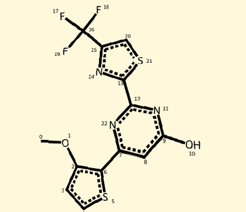 COc1ccsc1-c1cc(O)nc(-c2nc(C(F)(F)F)cs2)n1